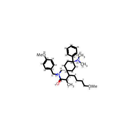 COCCCCC1C(C)C(=O)N(Cc2ccc(OC)cc2)C[C@]12CC[C@](c1ccccc1)(N(C)C)CC2